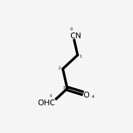 N#CCCC(=O)C=O